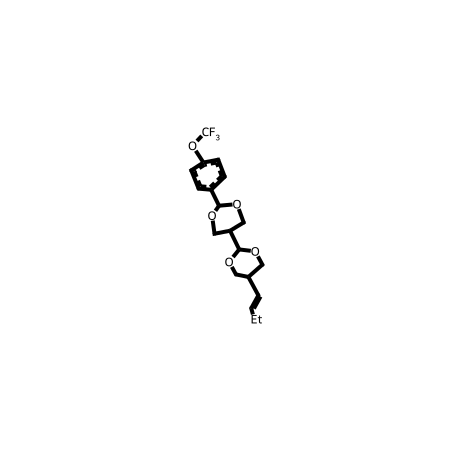 CC/C=C/C1COC(C2COC(c3ccc(OC(F)(F)F)cc3)OC2)OC1